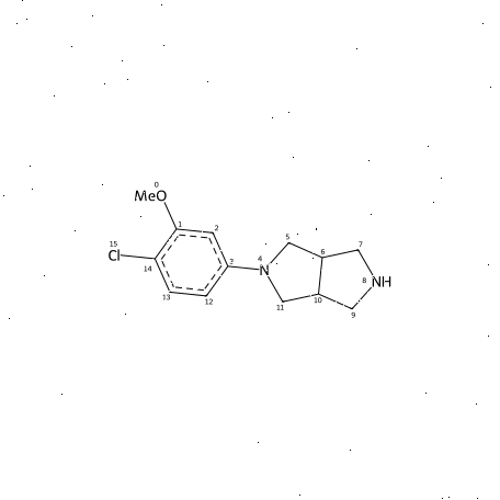 COc1cc(N2CC3CNCC3C2)ccc1Cl